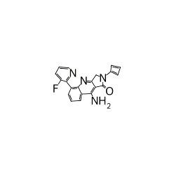 Nc1c2c(nc3c(-c4ncccc4F)cccc13)CN(C1=CC=C1)C2=O